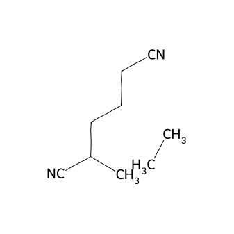 CC.CC(C#N)CCCC#N